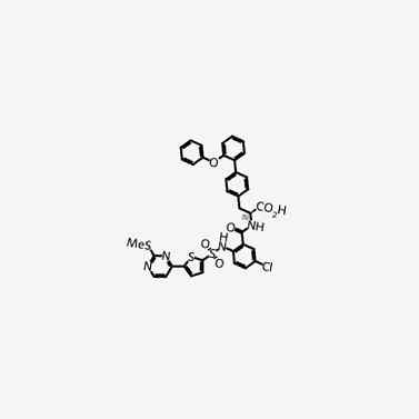 CSc1nccc(-c2ccc(S(=O)(=O)Nc3ccc(Cl)cc3C(=O)N[C@@H](Cc3ccc(-c4ccccc4Oc4ccccc4)cc3)C(=O)O)s2)n1